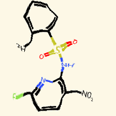 [2H]c1ccccc1S(=O)(=O)Nc1nc(F)ccc1[N+](=O)[O-]